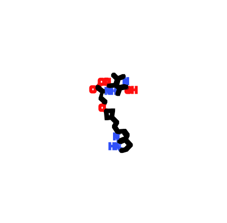 Cc1cnc(O)c(C)c1C(=O)N[C@@H](CCOC1CC(CCc2ccc3c(n2)NCCC3)C1)C(=O)O